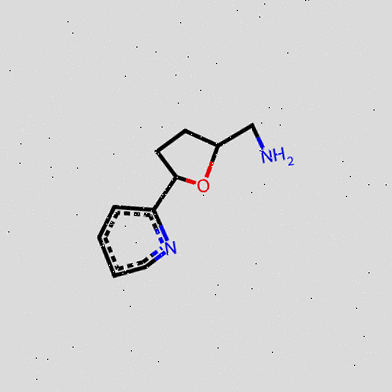 NCC1CCC(c2ccccn2)O1